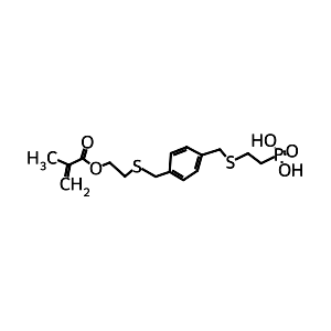 C=C(C)C(=O)OCCSCc1ccc(CSCCP(=O)(O)O)cc1